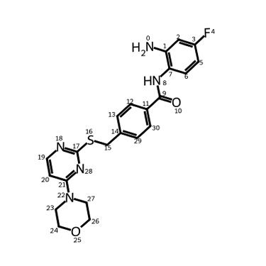 Nc1cc(F)ccc1NC(=O)c1ccc(CSc2nccc(N3CCOCC3)n2)cc1